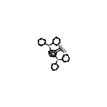 CCC(CC)[C]12[CH]3[CH]4[CH]5[CH]1[Fe]45321678[CH]2[CH]1[C]6(P(c1ccccc1)c1ccccc1)[C]7(C(CC)CC)[C]28P(c1ccccc1)c1ccccc1